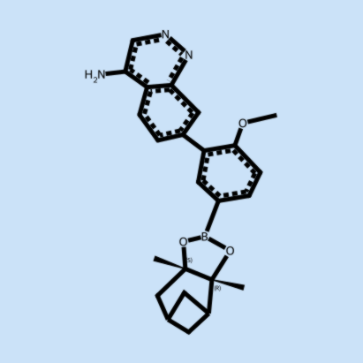 COc1ccc(B2O[C@@]3(C)CC4CC(C4)[C@@]3(C)O2)cc1-c1ccc2c(N)cnnc2c1